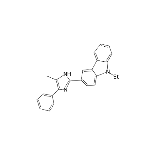 CCn1c2ccccc2c2cc(-c3nc(-c4ccccc4)c(C)[nH]3)ccc21